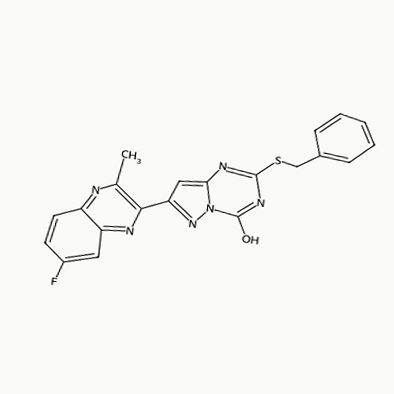 Cc1nc2ccc(F)cc2nc1-c1cc2nc(SCc3ccccc3)nc(O)n2n1